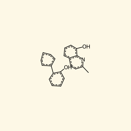 Cc1ccc2cccc(O)c2n1.Oc1ccccc1-c1ccccc1